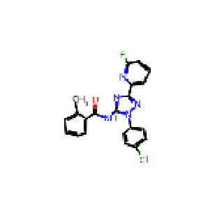 Cc1ccccc1C(=O)Nc1nc(-c2cccc(F)n2)nn1-c1ccc(Cl)cc1